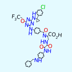 O=C(NC/C(=N/C(=O)c1ccc(Nc2nc(NC3(c4ccc(Cl)cc4)CC3)nc(OCC(F)(F)F)n2)cc1)C(=O)O)C(=O)Nc1ccc(NCc2ccccc2)cc1